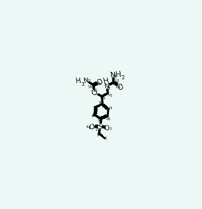 CCS(=O)(=O)c1ccc(C(CNC(N)=O)OC(N)=O)cc1